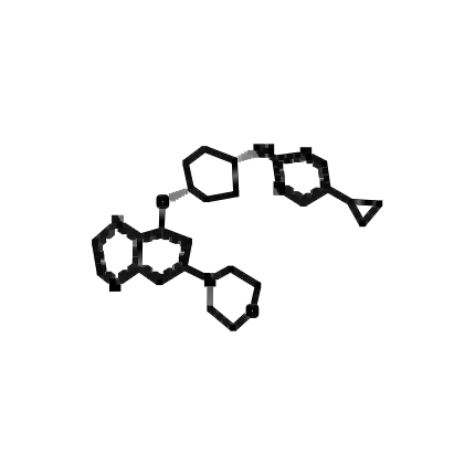 c1cnc2c(O[C@H]3CC[C@@H](Nc4ncc(C5CC5)cn4)CC3)cc(N3CCOCC3)cc2n1